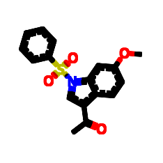 COc1ccc2c(C(C)=O)cn(S(=O)(=O)c3ccccc3)c2c1